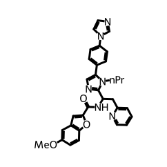 CCCn1c(-c2ccc(-n3ccnc3)cc2)cnc1C(Cc1ccccn1)NC(=O)c1cc2cc(OC)ccc2o1